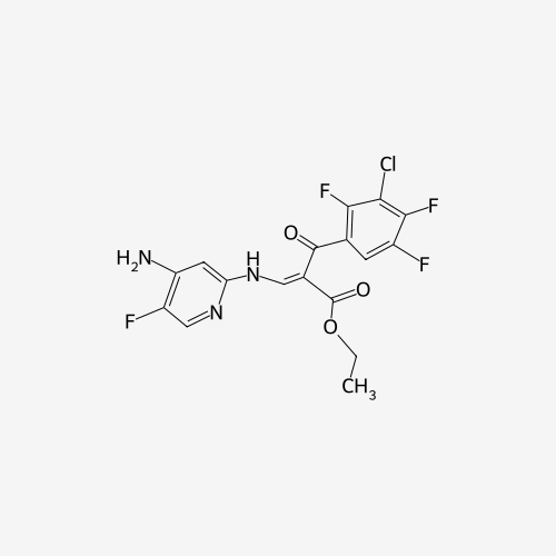 CCOC(=O)/C(=C/Nc1cc(N)c(F)cn1)C(=O)c1cc(F)c(F)c(Cl)c1F